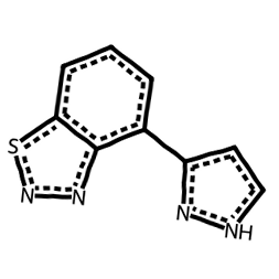 c1cc(-c2cc[nH]n2)c2nnsc2c1